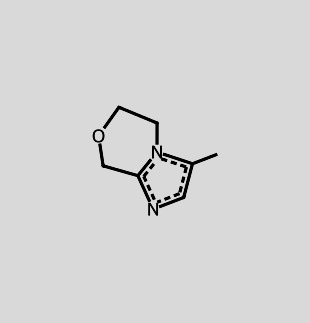 Cc1cnc2n1CCOC2